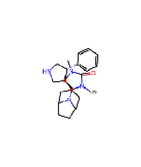 CC(C)N1C(=O)N(C)CC12CC1CCC(C2)N1C[C@H]1CNC[C@@H]1c1ccccc1